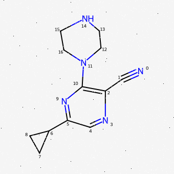 N#Cc1ncc(C2CC2)nc1N1CCNCC1